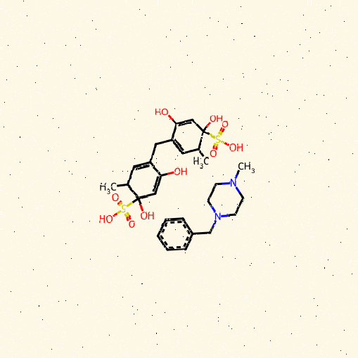 CC1C=C(CC2=CC(C)C(O)(S(=O)(=O)O)C=C2O)C(O)=CC1(O)S(=O)(=O)O.CN1CCN(Cc2ccccc2)CC1